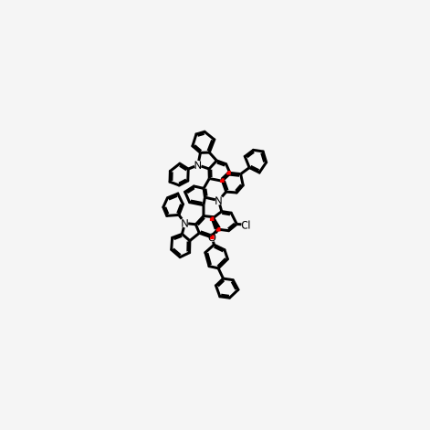 Clc1cc(Oc2ccc(-c3ccccc3)cc2)cc(N(c2ccc(-c3ccccc3)cc2)c2c(-c3cccc4c5ccccc5n(-c5ccccc5)c34)cccc2-c2cccc3c4ccccc4n(-c4ccccc4)c23)c1